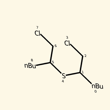 CCCCC(CCl)SC(CCl)CCCC